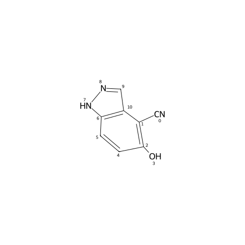 N#Cc1c(O)ccc2[nH]ncc12